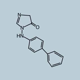 O=C1CN=CN1Nc1ccc(-c2ccccc2)cc1